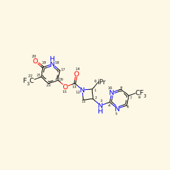 CC(C)C1C(Nc2ncc(C(F)(F)F)cn2)CN1C(=O)Oc1c[nH]c(=O)c(C(F)(F)F)c1